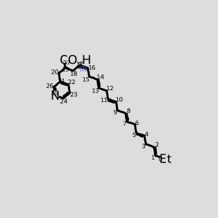 CCC=CCC=CCC=CCC=CCC=CC/C=C\CC(Cc1cccnc1)C(=O)O